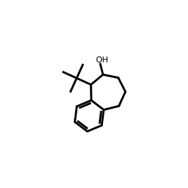 CC(C)(C)C1c2ccccc2CCCC1O